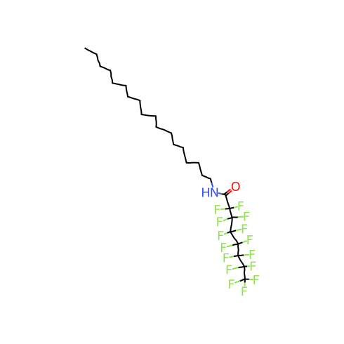 CCCCCCCCCCCCCCCCCCNC(=O)C(F)(F)C(F)(F)C(F)(F)C(F)(F)C(F)(F)C(F)(F)C(F)(F)F